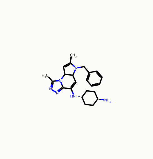 CC1=CC2C(C=C(N[C@H]3CC[C@H](N)CC3)c3nnc(C)n32)N1Cc1ccccc1